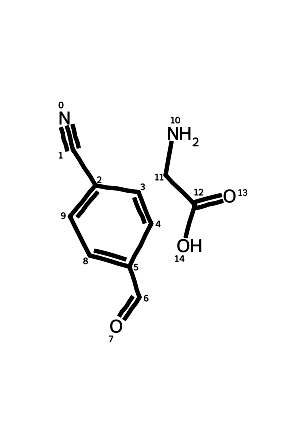 N#Cc1ccc(C=O)cc1.NCC(=O)O